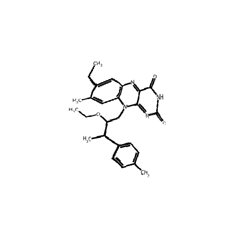 CCOC(Cn1c2nc(=O)[nH]c(=O)c-2nc2cc(CC)c(C)cc21)C(C)c1ccc(C)cc1